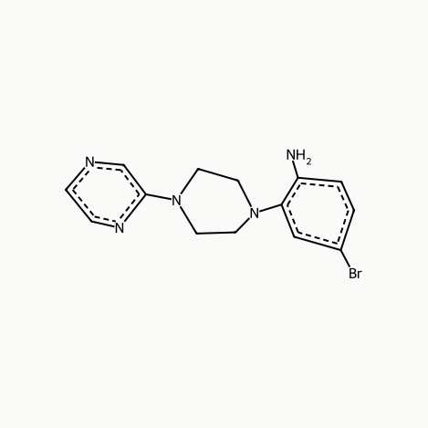 Nc1ccc(Br)cc1N1CCN(c2cnccn2)CC1